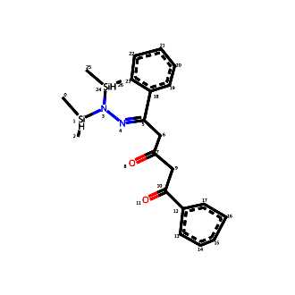 C[SiH](C)N(N=C(CC(=O)CC(=O)c1ccccc1)c1ccccc1)[SiH](C)C